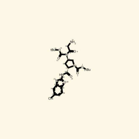 CC(C)(C)OC(=O)N1C[C@H](N(C(=O)CN)C(=O)OC(C)(C)C)C[C@H]1C(=O)Nc1nc2cc(Cl)ccc2o1